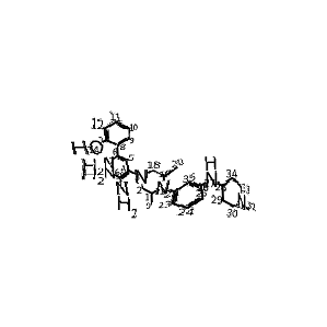 CC1CN(C(/C=C(\N)c2ccccc2O)=C(N)N)CC(C)N1c1cccc(NC2CCN(C)CC2)c1